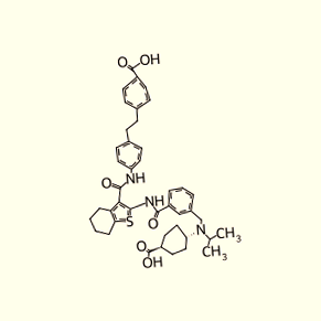 CC(C)N(Cc1cccc(C(=O)Nc2sc3c(c2C(=O)Nc2ccc(CCc4ccc(C(=O)O)cc4)cc2)CCCC3)c1)[C@H]1CC[C@H](C(=O)O)CC1